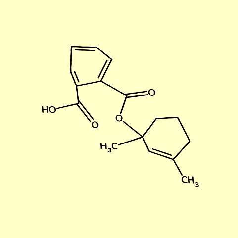 CC1=CC(C)(OC(=O)c2ccccc2C(=O)O)CCC1